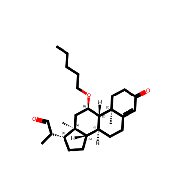 CCCCCO[C@@H]1C[C@]2(C)[C@@H](C(C)C=O)CC[C@H]2[C@@H]2CCC3=CC(=O)CC[C@]3(C)[C@H]21